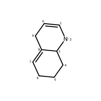 C1=C[N]C2CCCC=C2C1